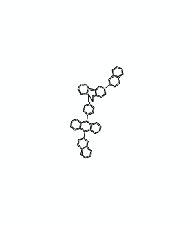 c1ccc2cc(-c3ccc4c(c3)c3ccccc3n4-c3ccc(-c4c5ccccc5c(-c5ccc6ccccc6c5)c5ccccc45)cc3)ccc2c1